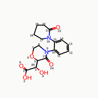 O=C(O)[C@H](O)C1OCCN(c2ccccc2N2CCCCC2=O)C1=O